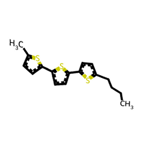 CCCCc1ccc(-c2ccc(-c3ccc(C)s3)s2)s1